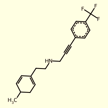 CC1C=CC(CCNCC#Cc2ccc(C(F)(F)F)cc2)=CC1